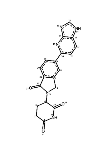 O=C1CCC(N2Cc3cc(-c4ccc5[nH]cnc5n4)ccc3C2=O)C(=O)N1